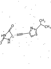 CC(C)c1nc(C#C[C@@H]2NC(=O)NC2=O)cs1